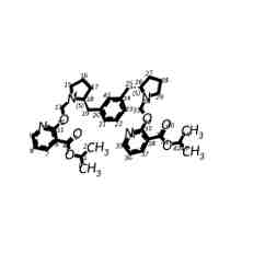 CC(C)OC(=O)c1cccnc1OCN1CCC[C@H]1Cc1cccc(C[C@@H]2CCCN2COc2ncccc2C(=O)OC(C)C)c1